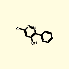 Oc1cc(Cl)nnc1-c1ccccc1